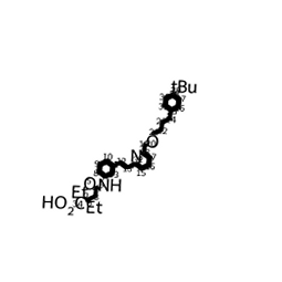 CCC(CC)(CC(=O)Nc1cccc(C=Cc2cccc(COCCCCc3ccc(C(C)(C)C)cc3)n2)c1)C(=O)O